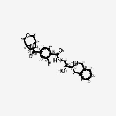 O=C(NC[C@@H](O)[C@@H]1Cc2ccccc2CN1)c1ccc(C(=O)N2C3CCC2COC3)cc1F